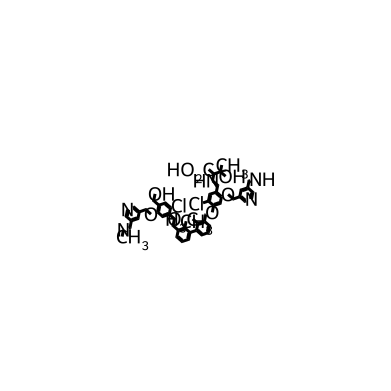 C/N=C/c1cncc(COc2cc(OCc3cccc(-c4cccc(COc5cc(OCc6cncc(C=N)c6)c(CNC(C(=O)O)C(C)O)cc5Cl)c4C)c3C)c(Cl)cc2CO)c1